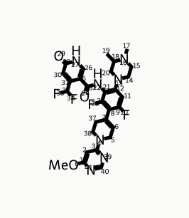 COc1cc(N2CC=C(c3c(F)cc(N4CCN(C)C(C)C4)c(NC(=O)c4c[nH]c(=O)cc4C(F)F)c3F)CC2)ncn1